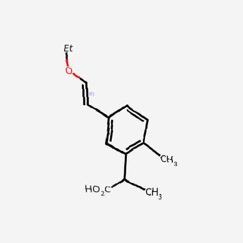 CCO/C=C/c1ccc(C)c(C(C)C(=O)O)c1